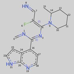 C=N/C(=N\C(=C(/F)C=N)N1CCCCC1C)c1ccnc2[nH]ccc12